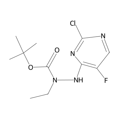 CCN(Nc1nc(Cl)ncc1F)C(=O)OC(C)(C)C